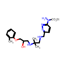 CCOC(=O)N(N)c1ccc(CNCC(C)(C)NCC(O)COc2ccccc2C)nn1